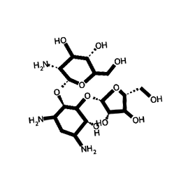 NC1CC(N)[C@@H](O[C@H]2OC(CO)[C@@H](O)C(O)[C@H]2N)C(O[C@@H]2O[C@H](CO)C(O)[C@@H]2O)[C@@H]1O